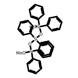 CO[Si](O[Si](O[Si](C)(c1ccccc1)c1ccccc1)(c1ccccc1)c1ccccc1)(c1ccccc1)c1ccccc1